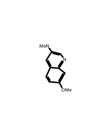 CNc1cnc2cc(OC)ccc2c1